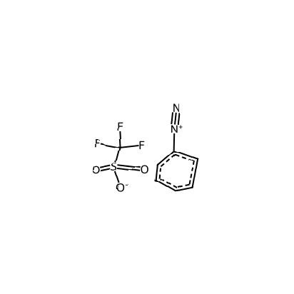 N#[N+]c1ccccc1.O=S(=O)([O-])C(F)(F)F